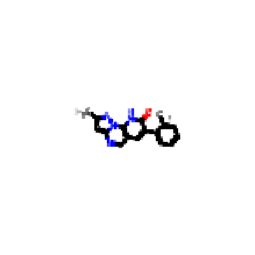 Cc1cc2ncc3cc(-c4ccccc4C)c(=O)[nH]c3n2n1